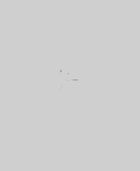 COC.[SiH4]